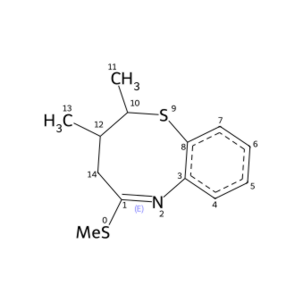 CS/C1=N/c2ccccc2SC(C)C(C)C1